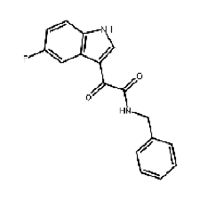 O=C(NCc1ccccc1)C(=O)c1c[nH]c2ccc(F)cc12